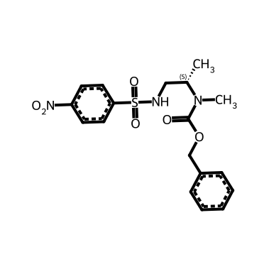 C[C@@H](CNS(=O)(=O)c1ccc([N+](=O)[O-])cc1)N(C)C(=O)OCc1ccccc1